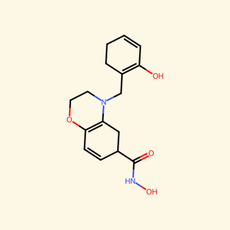 O=C(NO)C1C=CC2=C(C1)N(CC1=C(O)C=CCC1)CCO2